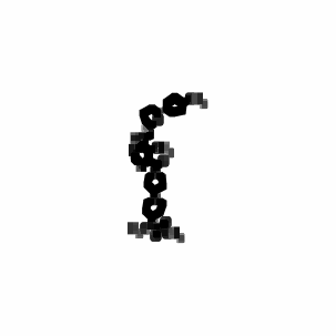 Cc1ccc([C@H]2CCC[C@@H](CNc3ncnc(C(=O)N4CCC(N5CCC(N(C)S(C)(=O)=O)CC5)CC4)c3C)O2)cc1